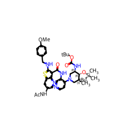 COc1ccc(CNc2sc3cc(NC(C)=O)cnc3c2C(=O)Nc2cnccc2N2C[C@H](C)[C@@H](O[Si](C)(C)C(C)(C)C)[C@H](NC(=O)OC(C)(C)C)C2)cc1